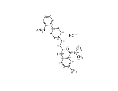 CC(=O)Nc1ccccc1N1CCN(CCCNc2ccc(C)cc2C(=O)N(C)C)CC1.Cl